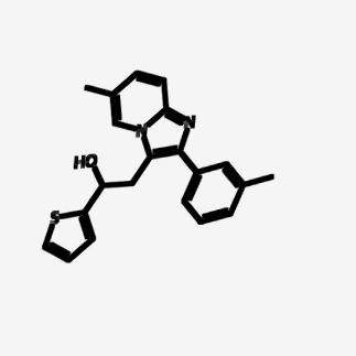 Cc1cccc(-c2nc3ccc(C)cn3c2CC(O)c2cccs2)c1